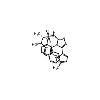 COc1cccc(OC)c1-n1c(NS(=O)(=O)[C@@H](C)[C@H](O)c2cn3ccccc3n2)nnc1-c1ccc(C)o1